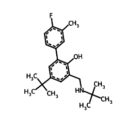 Cc1cc(-c2cc(C(C)(C)C)cc(CNC(C)(C)C)c2O)ccc1F